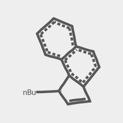 CCCC[C]1C=Cc2ccc3ccccc3c21